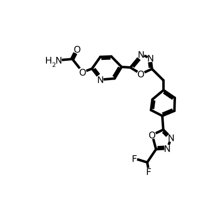 NC(=O)Oc1ccc(-c2nnc(Cc3ccc(-c4nnc(C(F)F)o4)cc3)o2)cn1